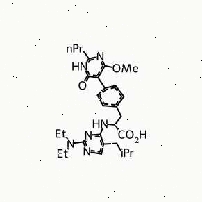 CCCc1nc(OC)c(-c2ccc(C[C@H](Nc3nc(N(CC)CC)ncc3CC(C)C)C(=O)O)cc2)c(=O)[nH]1